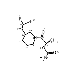 C[C@@H](OC(N)=O)C(=O)N1CCCC(OC(F)F)C1